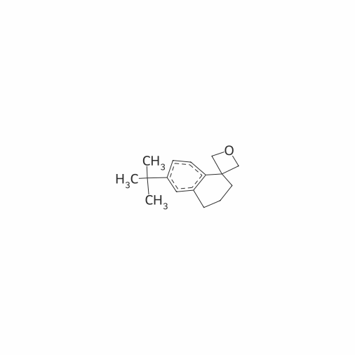 CC(C)(C)c1ccc2c(c1)CCCC21COC1